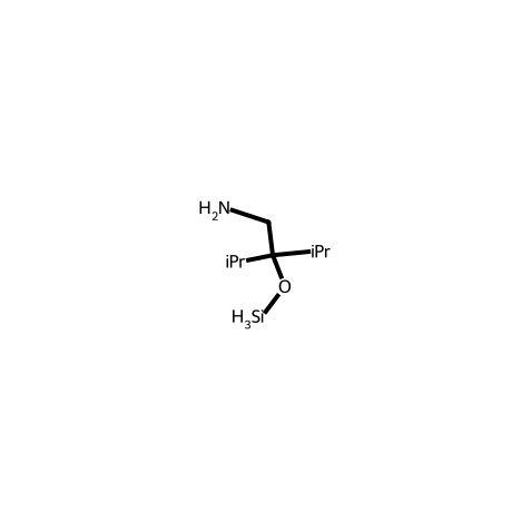 CC(C)C(CN)(O[SiH3])C(C)C